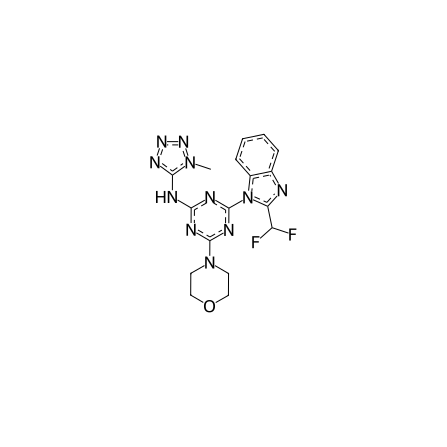 Cn1nnnc1Nc1nc(N2CCOCC2)nc(-n2c(C(F)F)nc3ccccc32)n1